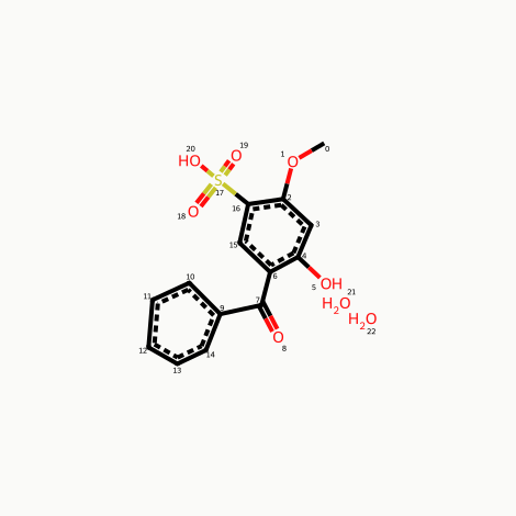 COc1cc(O)c(C(=O)c2ccccc2)cc1S(=O)(=O)O.O.O